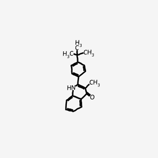 Cc1c(-c2ccc(C(C)(C)C)cc2)[nH]c2ccccc2c1=O